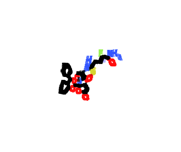 NC(=O)/C(F)=C/CC(=S)N[C@H]1CON(C2(C(=O)OC(c3ccccc3)c3ccccc3)CCC(=O)O2)C1=O